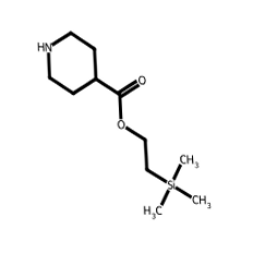 C[Si](C)(C)CCOC(=O)C1CCNCC1